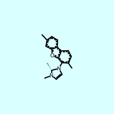 Cc1ccc2c(c1)oc1c(N3C=CN(C)[C@@H]3C)c(C)ccc12